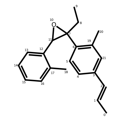 C/C=C/c1ccc(C2(CC)OC2c2ccccc2C)c(C)c1